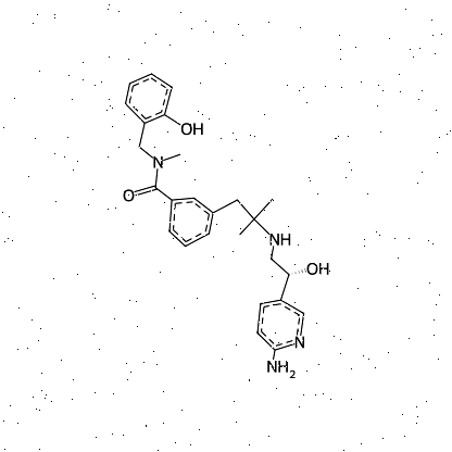 CN(Cc1ccccc1O)C(=O)c1cccc(CC(C)(C)NC[C@H](O)c2ccc(N)nc2)c1